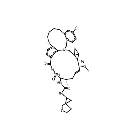 CO[C@H]1/C=C/C[C@H](C)C(NC(=O)N[C@H]2CC23CCOC3)/[SH](=O)=N\C(=O)c2ccc3c(c2)N(Cc2ccc(Cl)cc2CCCCO3)C[C@@]23CC2[C@@H]13